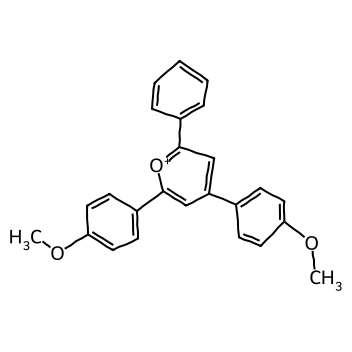 COc1ccc(-c2cc(-c3ccccc3)[o+]c(-c3ccc(OC)cc3)c2)cc1